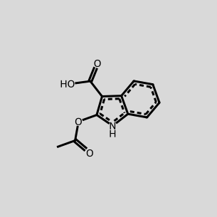 CC(=O)Oc1[nH]c2ccccc2c1C(=O)O